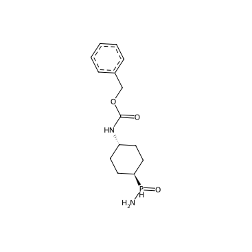 N[PH](=O)[C@H]1CC[C@H](NC(=O)OCc2ccccc2)CC1